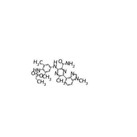 CCS(=O)(=O)Nc1c(C)cc(Nc2nc(C)c(-c3cccc4c3ncn4C)nc2C(N)=O)cc1C